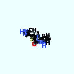 Cc1[nH]ncc1-c1cc2nc([C@@H]3C[C@H]4C[C@@H]4N3)[nH]c(=O)c2s1